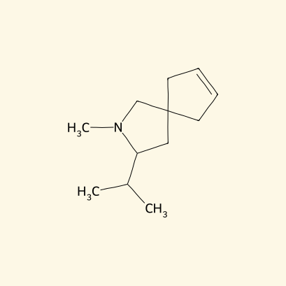 CC(C)C1CC2(CC=CC2)CN1C